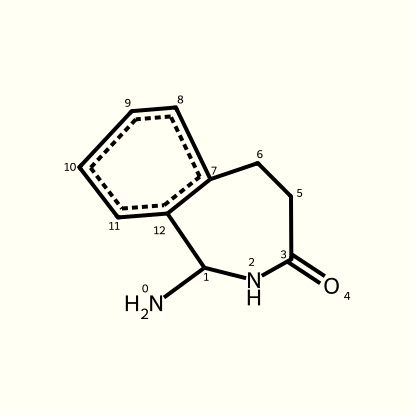 NC1NC(=O)CCc2ccccc21